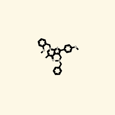 [CH2]c1cn(Cc2ccccc2OC)c2sc(-c3ccc(OC)cc3)c(CN(C)Cc3ccccc3)c2c1=O